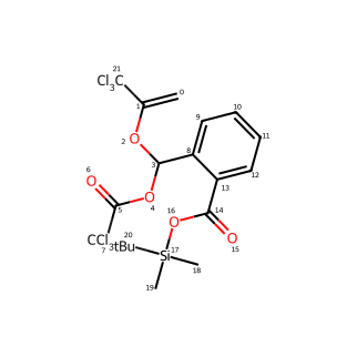 C=C(OC(OC(=O)C(Cl)(Cl)Cl)c1ccccc1C(=O)O[Si](C)(C)C(C)(C)C)C(Cl)(Cl)Cl